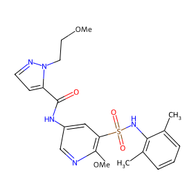 COCCn1nccc1C(=O)Nc1cnc(OC)c(S(=O)(=O)Nc2c(C)cccc2C)c1